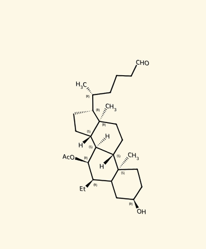 CC[C@@H]1C2C[C@H](O)CC[C@]2(C)[C@H]2CC[C@]3(C)[C@@H]([C@H](C)CCCC=O)CC[C@H]3[C@@H]2[C@@H]1OC(C)=O